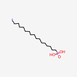 O=P(O)(O)CCCCCCCCCCCCCCCCI